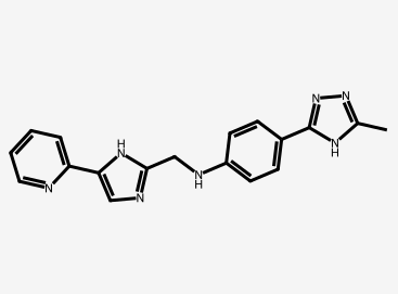 Cc1nnc(-c2ccc(NCc3ncc(-c4ccccn4)[nH]3)cc2)[nH]1